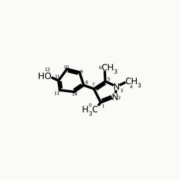 Cc1nn(C)c(C)c1-c1ccc(O)cc1